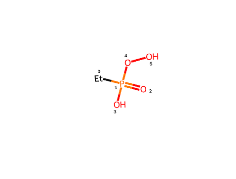 [CH2]CP(=O)(O)OO